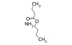 CCCCOC(=O)CCC.N